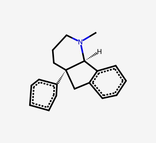 CN1CCC[C@]2(c3ccccc3)Cc3ccccc3[C@H]12